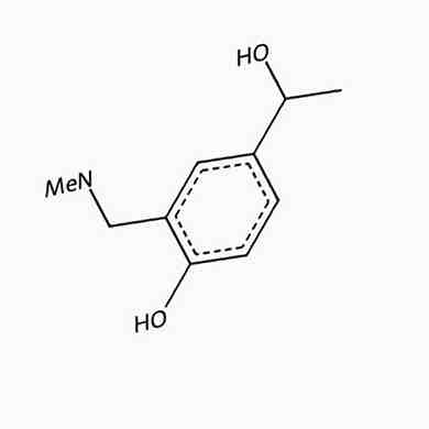 CNCc1cc(C(C)O)ccc1O